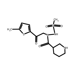 Cc1ccc(C(=O)CN(NS(C)(=O)=O)C(=O)C2CCCNC2)s1